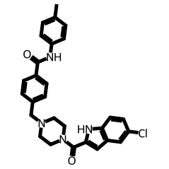 Cc1ccc(NC(=O)c2ccc(CN3CCN(C(=O)c4cc5cc(Cl)ccc5[nH]4)CC3)cc2)cc1